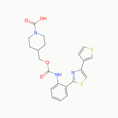 O=C(Nc1ccccc1-c1nc(-c2ccsc2)cs1)OCC1CCN(C(=O)O)CC1